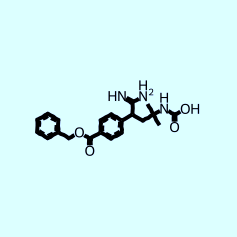 CC(C)(CC(C(=N)N)c1ccc(C(=O)OCc2ccccc2)cc1)NC(=O)O